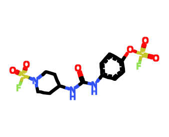 O=C(Nc1ccc(OS(=O)(=O)F)cc1)NC1CCN(S(=O)(=O)F)CC1